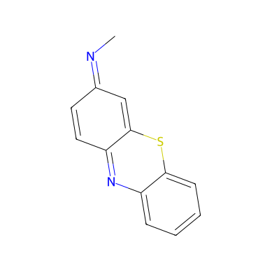 C/N=c1/ccc2nc3ccccc3sc-2c1